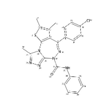 Cc1sc2c(c1C)C(c1ccc(Cl)cc1)=NN(C(=O)Nc1ccccc1)c1nnc(C)n1-2